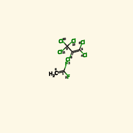 C=C(F)F.ClC(Cl)=C(Cl)C(Cl)(Cl)Cl